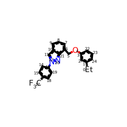 CCc1[c]c(OCc2cccc3cn(-c4ccc(C(F)(F)F)cc4)nc23)ccc1